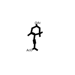 CC(=O)OC(C)C#CC1=C(C)CC(OC(C)=O)CC1(C)C